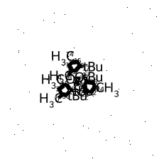 Cc1cc(C)c(OP(Oc2c(C)cc(C)cc2C(C)(C)C)Oc2c(C(C)(C)C)cc(C)cc2C(C)(C)C)c(C(C)(C)C)c1